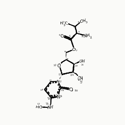 CC(C)C(N)C(=O)OC[C@H]1O[C@@H](n2ccc(NO)nc2=O)[C@H](O)[C@@H]1O